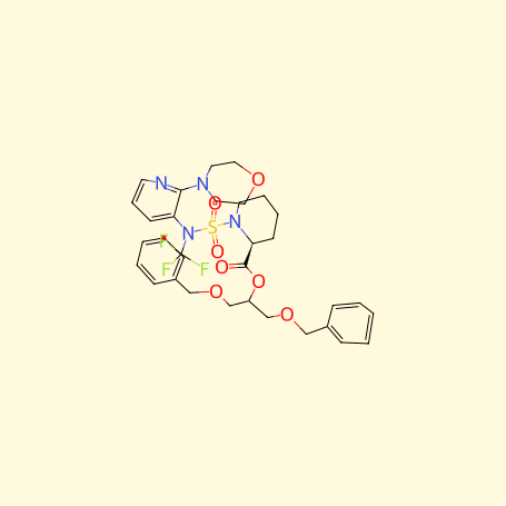 O=C(OC(COCc1ccccc1)COCc1ccccc1)[C@@H]1CCCCN1S(=O)(=O)N(c1cccnc1N1CCOCC1)C(F)(F)F